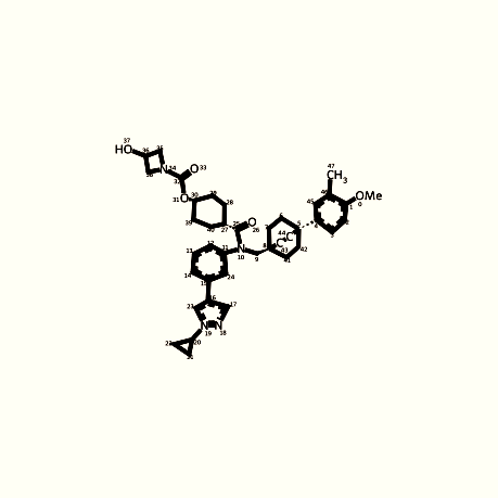 COc1ccc([C@]23CC[C@@](CN(c4cccc(-c5cnn(C6CC6)c5)c4)C(=O)[C@H]4CC[C@H](OC(=O)N5CC(O)C5)CC4)(CC2)CC3)cc1C